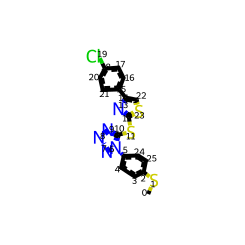 CSc1ccc(-n2nnnc2Sc2nc(-c3ccc(Cl)cc3)cs2)cc1